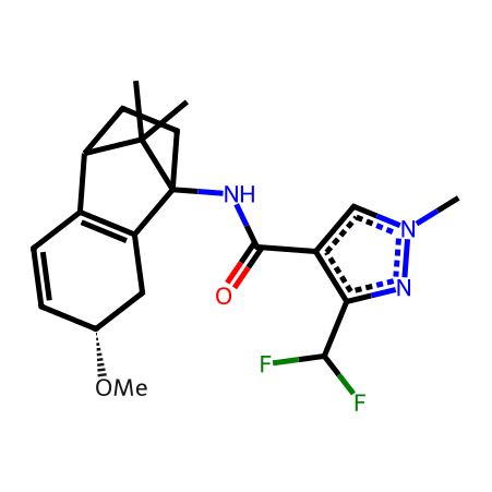 CO[C@@H]1C=CC2=C(C1)C1(NC(=O)c3cn(C)nc3C(F)F)CCC2C1(C)C